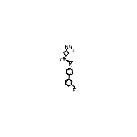 NC1CC(N[C@H]2C[C@@H]2c2ccc(-c3cccc(CF)c3)cc2)C1